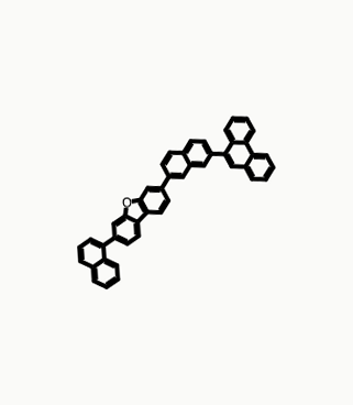 c1ccc2c(-c3ccc4c(c3)oc3cc(-c5ccc6ccc(-c7cc8ccccc8c8ccccc78)cc6c5)ccc34)cccc2c1